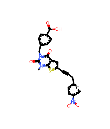 Cn1c(=O)n(Cc2ccc(C(=O)O)cc2)c(=O)c2cc(C#CCc3ccc([N+](=O)[O-])cc3)sc21